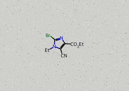 CCOC(=O)c1nc(Br)n(CC)c1C#N